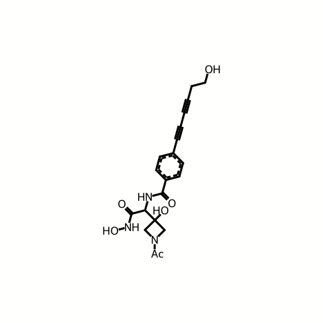 CC(=O)N1CC(O)(C(NC(=O)c2ccc(C#CC#CCCO)cc2)C(=O)NO)C1